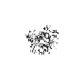 CC1=C(C)C(C)([Si](c2c(N(C)C)c(C)c(N(C)C)c(C)c2N(C)C)(c2c(N(C)C)c(C)c(N(C)C)c(C)c2N(C)C)c2c(N(C)C)c(C)c(N(C)C)c(C)c2N(C)C)[C]([Ti+3])=C1C.[Cl-].[Cl-].[Cl-]